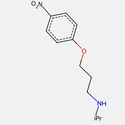 CC(C)NCCCOc1ccc([N+](=O)[O-])cc1